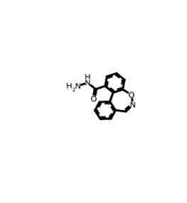 NNC(=O)c1cccc2c1-c1ccccc1C=NO2